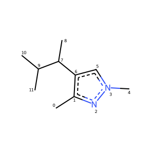 Cc1nn(C)cc1C(C)C(C)C